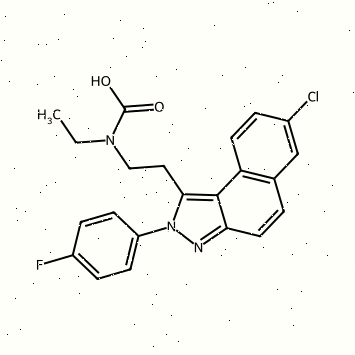 CCN(CCc1c2c(ccc3cc(Cl)ccc32)nn1-c1ccc(F)cc1)C(=O)O